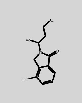 CC(=O)CCC(C(C)=O)N1Cc2c(O)cccc2C1=O